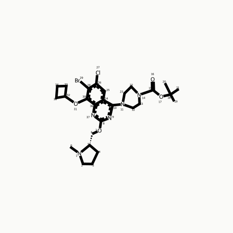 CN1CCC[C@H]1COc1nc(N2CCN(C(=O)OC(C)(C)C)CC2)c2cc(Cl)c(Br)c(OC3CCC3)c2n1